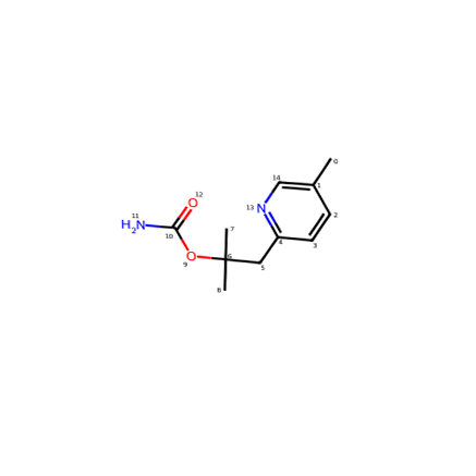 Cc1ccc(CC(C)(C)OC(N)=O)nc1